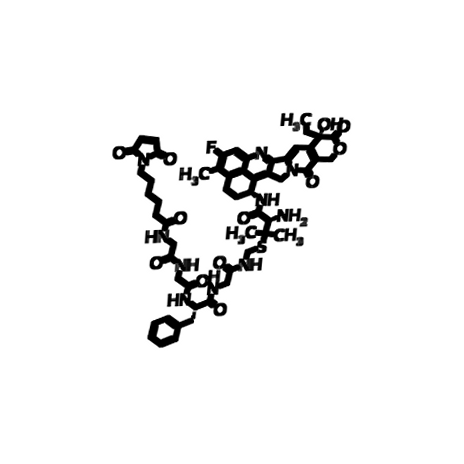 CC[C@@]1(O)C(=O)OCc2c1cc1n(c2=O)Cc2c-1nc1cc(F)c(C)c3c1c2[C@@H](NC(=O)[C@@H](N)C(C)(C)SCNC(=O)CNC(=O)[C@H](Cc1ccccc1)NC(=O)CNC(=O)CNC(=O)CCCCCN1C(=O)C=CC1=O)CC3